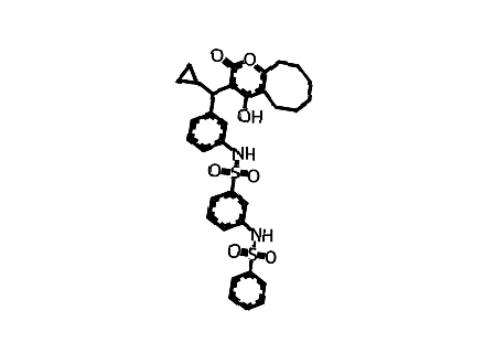 O=c1oc2c(c(O)c1C(c1cccc(NS(=O)(=O)c3cccc(NS(=O)(=O)c4ccccc4)c3)c1)C1CC1)CCCCCC2